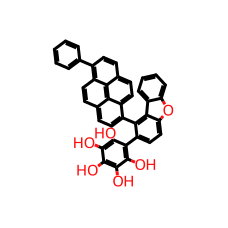 Oc1c(O)c(O)c(-c2ccc3oc4ccccc4c3c2-c2ccc3ccc4c(-c5ccccc5)ccc5ccc2c3c54)c(O)c1O